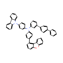 c1ccc(-c2ccc(-c3cccc(N(c4ccc(-c5cccc6oc7ccccc7c56)cc4)c4ccc(-n5c6ccccc6c6ccccc65)cc4)c3)cc2)cc1